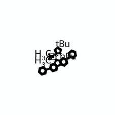 CCCCC1C=C(C(C)(C)C)C=[C]1[Zr](=[C](C)C)[CH]1c2cc(-c3ccccc3)ccc2-c2ccc(-c3ccccc3)cc21